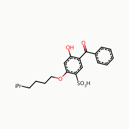 CC(C)CCCCOc1cc(O)c(C(=O)c2ccccc2)cc1S(=O)(=O)O